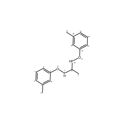 Cc1cccc(OPC(C)POc2cccc(C)c2)c1